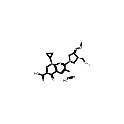 CON=C1CN(c2nc3c(cc2F)c(=O)c(C(=O)O)cn3C2CC2)C[C@@H]1CN.O=CO